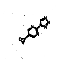 c1nc(-n2cnnn2)ncc1C1CO1